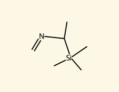 C=NC(C)[Si](C)(C)C